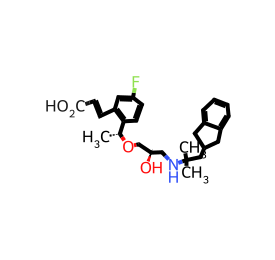 C[C@@H](OC[C@H](O)CNC(C)(C)CC1Cc2ccccc2C1)c1ccc(F)cc1C=CC(=O)O